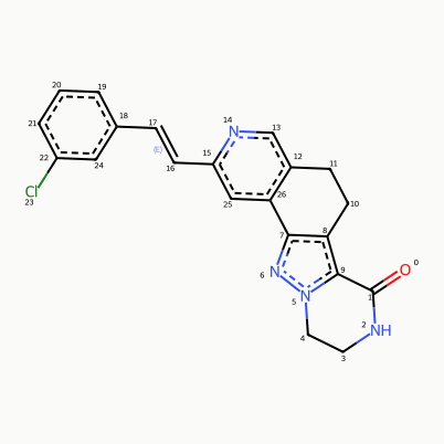 O=C1NCCn2nc3c(c21)CCc1cnc(/C=C/c2cccc(Cl)c2)cc1-3